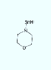 [SnH][N]1CCOCC1